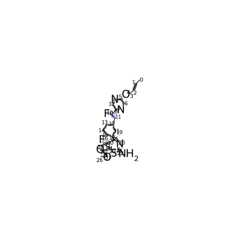 CC#CCOc1cnc(/C(F)=C/c2ccc(F)c([C@@]3(C)N=C(N)S[C@@]4(S(C)(=O)=O)C=C34)c2)cn1